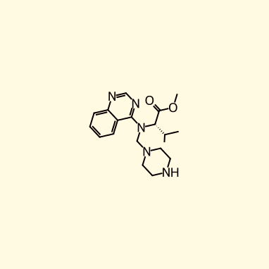 COC(=O)[C@H](C(C)C)N(CN1CCNCC1)c1ncnc2ccccc12